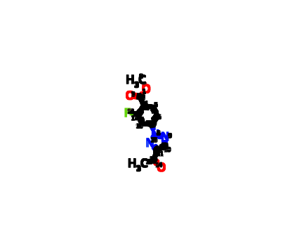 COC(=O)c1ccc(-n2ncc(C(C)=O)n2)cc1F